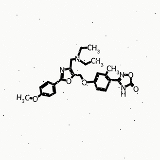 CCN(CC)Cc1nc(-c2ccc(OC)cc2)oc1COc1ccc(-c2noc(=O)[nH]2)c(C)c1